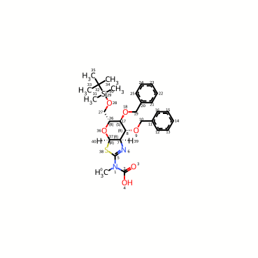 CN(C(=O)O)C1=N[C@@H]2[C@@H](OCc3ccccc3)[C@H](OCc3ccccc3)[C@@H](CO[Si](C)(C)C(C)(C)C)O[C@@H]2S1